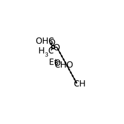 C#CC#CC#CC#CC#CC#CC#CC#CC#CC#CC#COc1cc(C)cc(COC=O)c1.CCOC=O